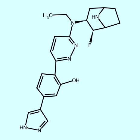 CCN(c1ccc(-c2ccc(-c3cn[nH]c3)cc2O)nn1)[C@H]1CC2CCC(N2)[C@H]1F